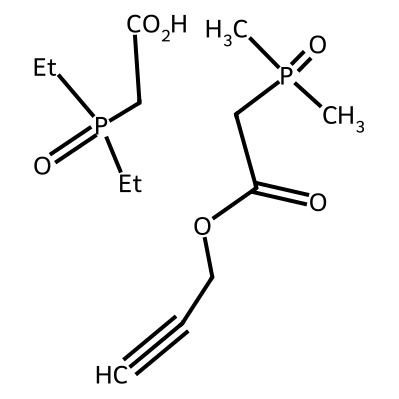 C#CCOC(=O)CP(C)(C)=O.CCP(=O)(CC)CC(=O)O